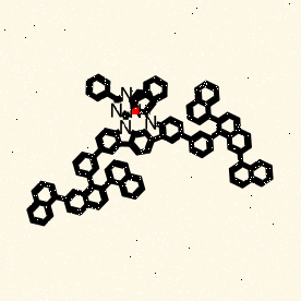 c1ccc(-c2nc(-c3ccccc3)nc(-n3c4ccc(-c5cccc(-c6c(-c7cccc8ccccc78)ccc7ccc(-c8cccc9ccccc89)cc67)c5)cc4c4ccc5c6cc(-c7cccc(-c8c(-c9cccc%10ccccc9%10)ccc9ccc(-c%10cccc%11ccccc%10%11)cc89)c7)ccc6n(-c6ccccc6)c5c43)n2)cc1